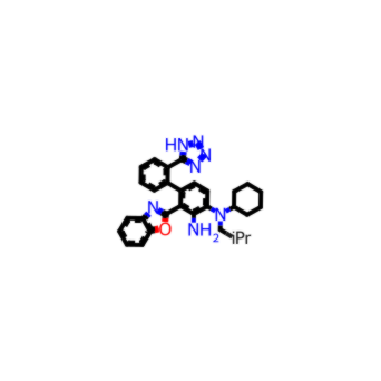 CC(C)CN(c1ccc(-c2ccccc2-c2nnn[nH]2)c(-c2nc3ccccc3o2)c1N)C1CCCCC1